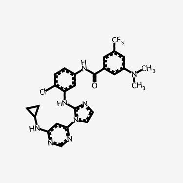 CN(C)c1cc(C(=O)Nc2ccc(Cl)c(Nc3nccn3-c3cc(NC4CC4)ncn3)c2)cc(C(F)(F)F)c1